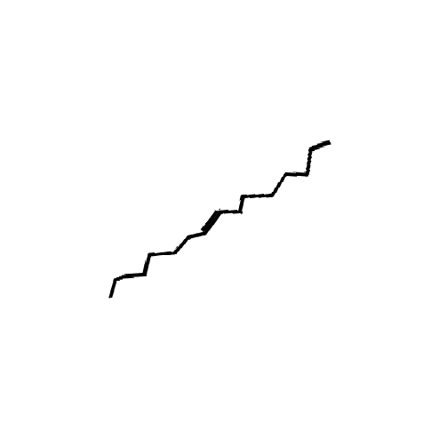 CCCCCCC=[C]CCCCCCC